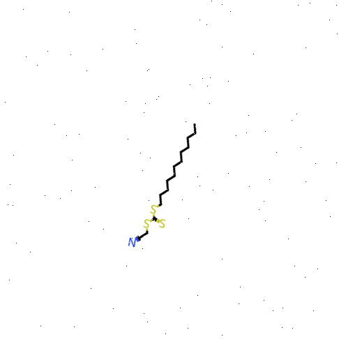 CCCCCCCCCCCCSC(=S)SCC#N